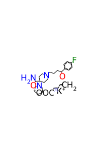 C=C/C=C/C(=O)[O-].NC(=O)C1(N2CCCCC2)CCN(CCCC(=O)c2ccc(F)cc2)CC1.[K+]